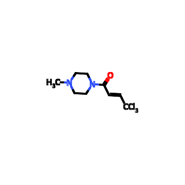 CN1CCN(C(=O)C=CC(Cl)(Cl)Cl)CC1